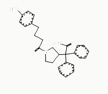 NC(=O)C(c1ccccc1)(c1ccccc1)C1CCN(C(=O)CCCc2ccc(N)cc2)C1